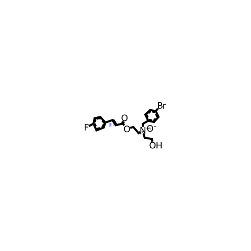 O=C(/C=C/c1ccc(F)cc1)OCC[N@@+]([O-])(CCO)Cc1ccc(Br)cc1